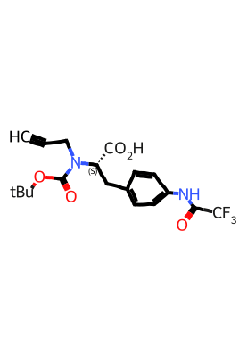 C#CCN(C(=O)OC(C)(C)C)[C@@H](Cc1ccc(NC(=O)C(F)(F)F)cc1)C(=O)O